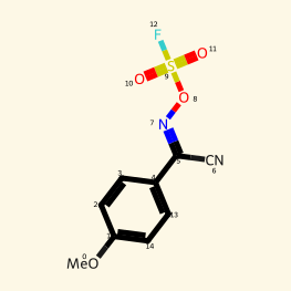 COc1ccc(C(C#N)=NOS(=O)(=O)F)cc1